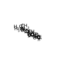 CC(C)(C)OC(=O)N1CCC(C)(N2CCc3cc(S(=O)(=O)c4ccccc4)ccc32)CC1